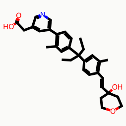 CCC(CC)(c1ccc(C=CC2(O)CCOCC2)c(C)c1)c1ccc(-c2cncc(CC(=O)O)c2)c(C)c1